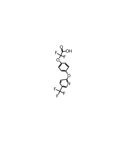 O=C(O)C(F)(F)Oc1ccc(Oc2ccc(C(F)(F)F)cn2)cc1